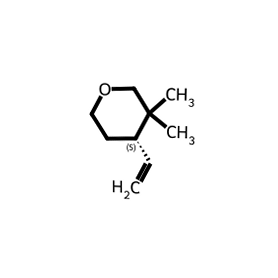 C=C[C@@H]1CCOCC1(C)C